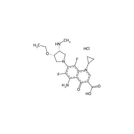 CCO[C@H]1CN(c2c(F)c(N)c3c(=O)c(C(=O)O)cn(C4CC4)c3c2F)C[C@H]1NC.Cl